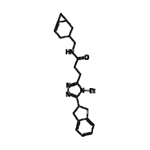 CCn1c(CCC(=O)NCC2CC=C3CC3C2)nnc1C1Cc2ccccc2C1